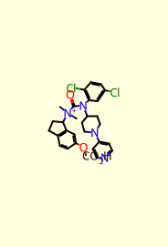 C[N+](C)(C(=O)N(c1cc(Cl)ccc1Cl)C1CCN(c2ccncc2)CC1)C1CCc2ccc(OC(=O)O)cc21